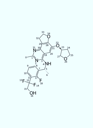 Cc1nc(N[C@H](C)c2cccc(C(F)(F)CO)c2F)c2cc(O[C@H]3CCOC3)c3c(c2n1)CCO3